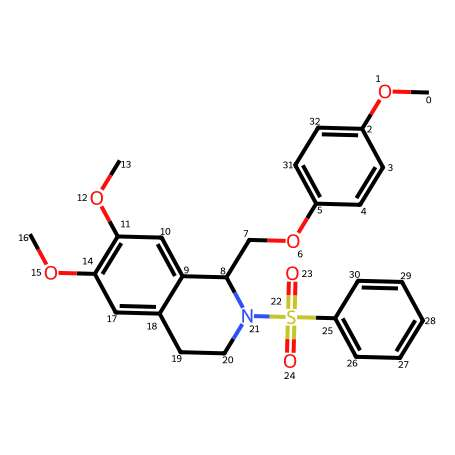 COc1ccc(OCC2c3cc(OC)c(OC)cc3CCN2S(=O)(=O)c2ccccc2)cc1